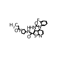 C=CC(=O)N1CC[C@@H](NC(=O)c2sc3nccc4c3c2NC(=O)N4c2ccccc2F)C1